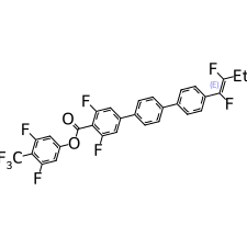 CC/C(F)=C(\F)c1ccc(-c2ccc(-c3cc(F)c(C(=O)Oc4cc(F)c(C(F)(F)F)c(F)c4)c(F)c3)cc2)cc1